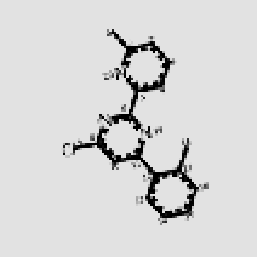 Cc1cccc(-c2nc(Cl)cc(-c3ccccc3C)n2)n1